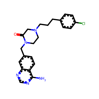 Nc1ncnc2cc(CN3CCN(CCCc4ccc(Cl)cc4)CC3=O)ccc12